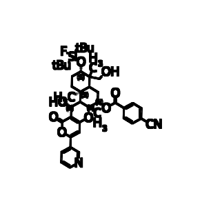 CC1(CO)C2C[C@H](OC(=O)c3ccc(C#N)cc3)[C@@]3(C)Oc4cc(-c5cccnc5)oc(=O)c4[C@H](O)C3[C@@]2(C)CC[C@@H]1O[Si](F)(C(C)(C)C)C(C)(C)C